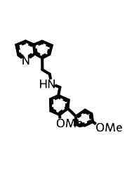 COc1ccc(-c2cc(CNCCc3cccc4cccnc34)ccc2OC)cc1